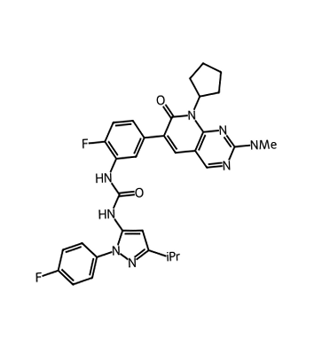 CNc1ncc2cc(-c3ccc(F)c(NC(=O)Nc4cc(C(C)C)nn4-c4ccc(F)cc4)c3)c(=O)n(C3CCCC3)c2n1